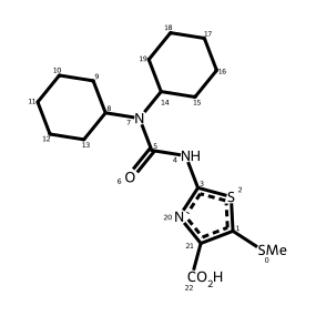 CSc1sc(NC(=O)N(C2CCCCC2)C2CCCCC2)nc1C(=O)O